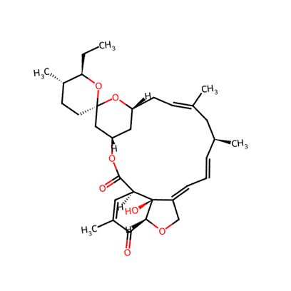 CC[C@H]1O[C@]2(CC[C@@H]1C)C[C@@H]1C[C@@H](C/C=C(\C)C[C@@H](C)/C=C/C=C3\CO[C@@H]4C(=O)C(C)=C[C@@H](C(=O)O1)[C@]34O)O2